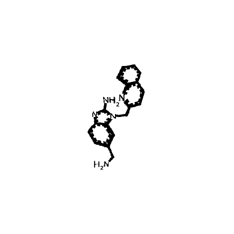 NCc1ccc2nc(N)n(Cc3ccc4ccccc4n3)c2c1